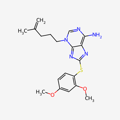 C=C(C)CCCn1cnc(N)c2nc(Sc3ccc(OC)cc3OC)nc1-2